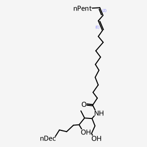 CCCCC/C=C\C=C\CCCCCCCCCCC(=O)NC(CCO)C(C)C(O)CCCCCCCCCCCCC